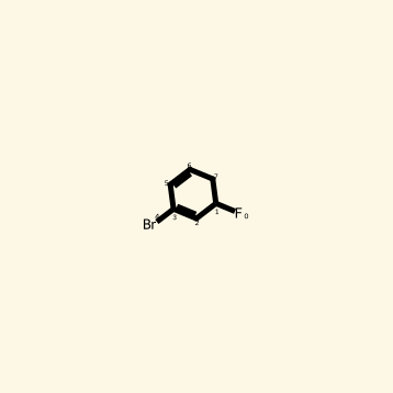 FC1C=C(Br)C=CC1